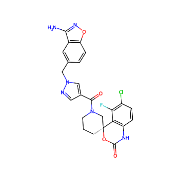 Nc1noc2ccc(Cn3cc(C(=O)N4CCC[C@@]5(C4)OC(=O)Nc4ccc(Cl)c(F)c45)cn3)cc12